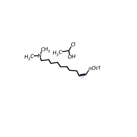 CC(O)Cl.CCCCCCCC/C=C\CCCCCCCCN(C)C